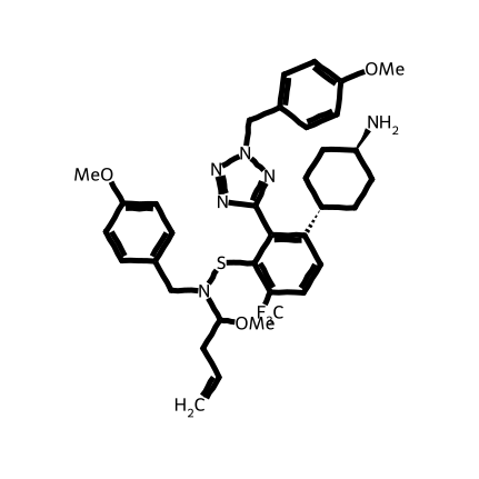 C=CCC(OC)N(Cc1ccc(OC)cc1)Sc1c(C(F)(F)F)ccc([C@H]2CC[C@H](N)CC2)c1-c1nnn(Cc2ccc(OC)cc2)n1